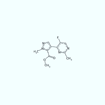 COC(=O)c1c(-c2nc(C)ncc2F)cnn1C